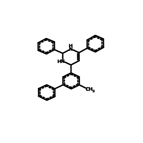 Cc1cc(-c2ccccc2)cc(C2C=C(c3ccccc3)NC(c3ccccc3)N2)c1